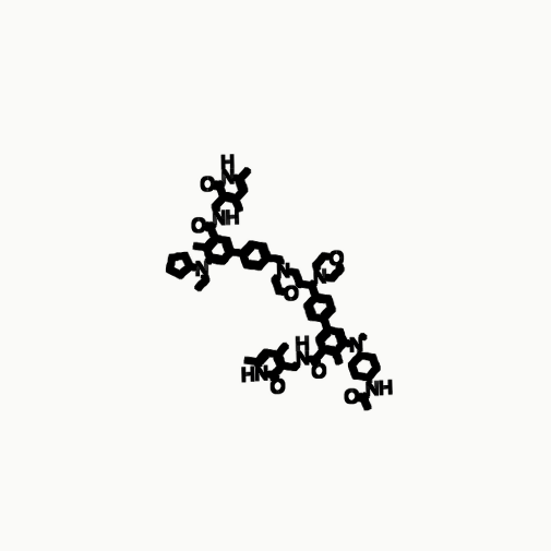 CCN(c1cc(-c2ccc(CN3CCOC(C(c4ccc(-c5cc(C(=O)NCc6c(C)cc(C)[nH]c6=O)c(C)c(N(C)[C@H]6CC[C@H](NC(C)=O)CC6)c5)cc4)N4CCOCC4)C3)cc2)cc(C(=O)NCc2c(C)cc(C)[nH]c2=O)c1C)C1CCCC1